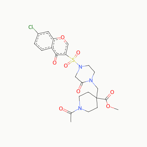 COC(=O)C1(CN2CCN(S(=O)(=O)c3coc4cc(Cl)ccc4c3=O)CC2=O)CCN(C(C)=O)CC1